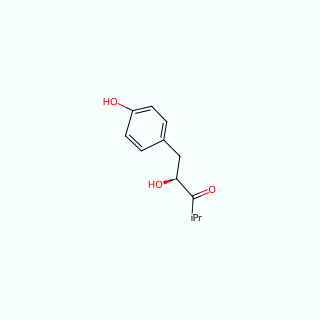 CC(C)C(=O)[C@@H](O)Cc1ccc(O)cc1